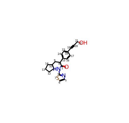 O=C(Nc1nccs1)C(CC1CCCC1)c1ccc(C#CCO)cc1